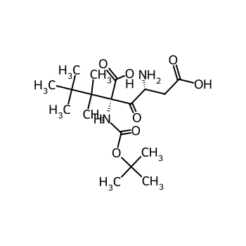 CC(C)(C)OC(=O)N[C@](C(=O)O)(C(=O)[C@H](N)CC(=O)O)C(C)(C)C(C)(C)C